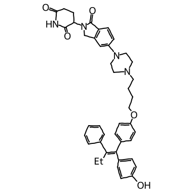 CCC(=C(c1ccc(O)cc1)c1ccc(OCCCCN2CCN(c3ccc4c(c3)CN(C3CCC(=O)NC3=O)C4=O)CC2)cc1)c1ccccc1